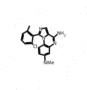 CNc1ccc2c(c1)nc(N)c1cnc(-c3c(C)cccc3Cl)n12